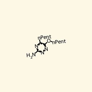 CCCCCOc1nnc(N)nc1CCCCC